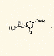 BC(B)=Cc1ccc(OC)cc1Cl